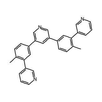 Cc1ccc(-c2cncc(-c3ccc(C)c(-c4cccnc4)c3)c2)cc1-c1cccnc1